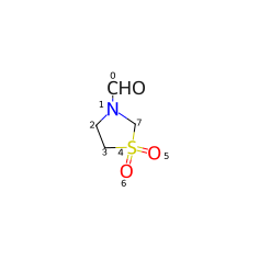 O=CN1CCS(=O)(=O)C1